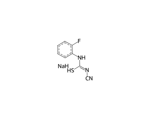 N#CN=C(S)Nc1ccccc1F.[NaH]